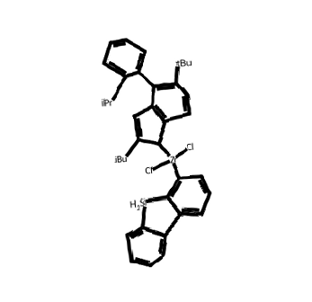 CCC(C)C1=Cc2c(ccc(C(C)(C)C)c2-c2ccccc2C(C)C)[CH]1[Zr]([Cl])([Cl])[c]1cccc2c1[SiH2]c1ccccc1-2